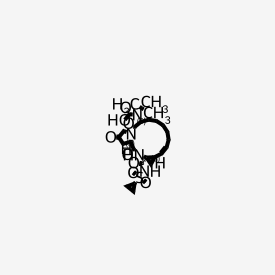 CC(C)(C)N(C(=O)O)[C@H]1CCCCCC=C[C@@H]2C[C@@]2(C(=O)NS(=O)(=O)C2CC2)NC(=O)[C@@H]2CC(=O)CN2C1=O